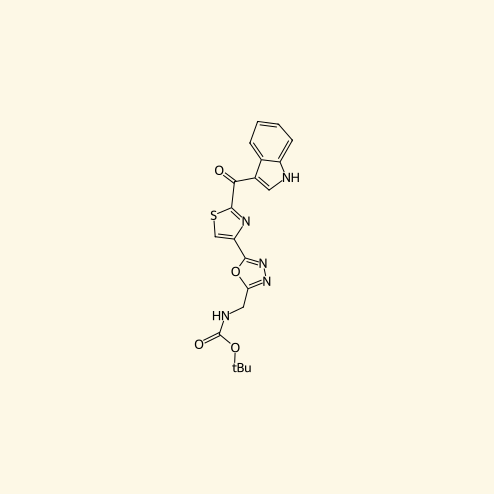 CC(C)(C)OC(=O)NCc1nnc(-c2csc(C(=O)c3c[nH]c4ccccc34)n2)o1